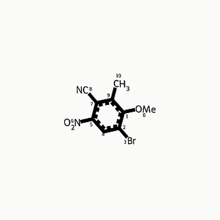 COc1c(Br)cc([N+](=O)[O-])c(C#N)c1C